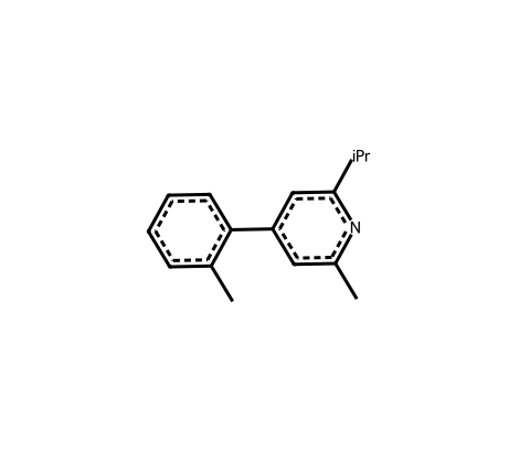 Cc1cc(-c2ccccc2C)cc(C(C)C)n1